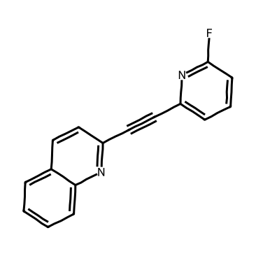 Fc1cccc(C#Cc2ccc3ccccc3n2)n1